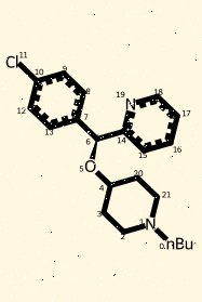 [CH2]CC[CH]N1CCC(O[C@@H](c2ccc(Cl)cc2)c2ccccn2)CC1